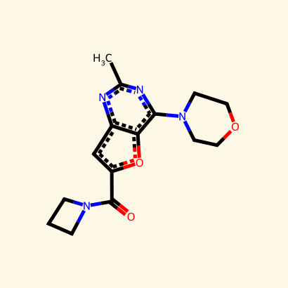 Cc1nc(N2CCOCC2)c2oc(C(=O)N3CCC3)cc2n1